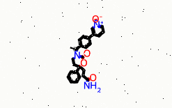 C[C@@H](c1ccc(-c2ccc[n+]([O-])c2)cc1)N1CCC(CCC(N)=O)(c2ccccc2)OC1=O